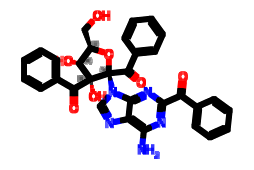 Nc1nc(C(=O)c2ccccc2)nc2c1ncn2[C@]1(C(=O)c2ccccc2)O[C@H](CO)[C@@H](O)[C@]1(O)C(=O)c1ccccc1